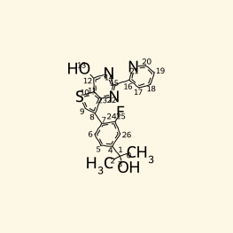 CC(C)(O)c1ccc(-c2csc3c(O)nc(-c4ccccn4)nc23)c(F)c1